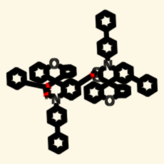 c1ccc(-c2ccc(N3c4ccc(-c5ccccc5)cc4C4(c5ccccc5Oc5ccccc54)c4cc(-c5ccc6c(c5)C5(c7ccccc7Oc7ccccc75)c5cc(-c7ccccc7)ccc5N6c5ccc(-c6ccccc6)cc5)ccc43)cc2)cc1